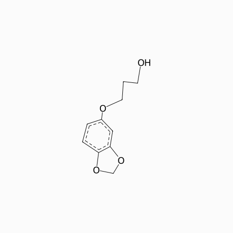 OCCCOc1ccc2c(c1)OCO2